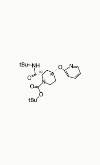 CC(C)(C)NC(=O)[C@@H]1C[C@H](Oc2ccccn2)CCN1C(=O)OC(C)(C)C